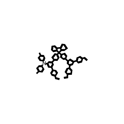 C=Cc1ccc(-c2cc(-c3ccc(C=C)cc3)cc(-c3ccc(C4(c5ccc(-c6cc(-c7ccc(C=C)cc7)cc(N(c7ccc(C)cc7)c7ccc(C)cc7)c6)cc5)c5ccccc5-c5ccccc54)cc3)c2)cc1